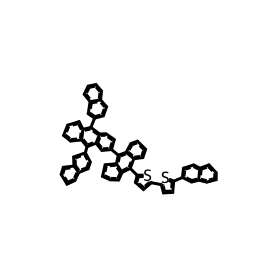 c1ccc2cc(-c3ccc(-c4ccc(-c5c6ccccc6c(-c6ccc7c(-c8ccc9ccccc9c8)c8ccccc8c(-c8ccc9ccccc9c8)c7c6)c6ccccc56)s4)s3)ccc2c1